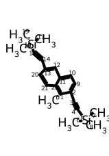 Cc1c(C#C[Si](C)(C)C)ccc2cc(C#C[Si](C)(C)C)ccc12